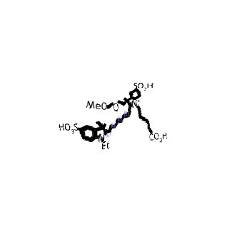 CCN1/C(=C/C=C/C=C/C=C/C2=[N+](CCCCCC(=O)O)c3ccc(S(=O)(=O)O)cc3C2(C)CCOCCOC)C(C)(C)c2cc(S(=O)(=O)O)ccc21